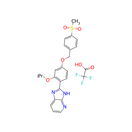 CC(C)Oc1cc(OCc2ccc(S(C)(=O)=O)cc2)ccc1-c1nc2cccnc2[nH]1.O=C(O)C(F)(F)F